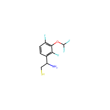 NC(CS)c1ccc(F)c(OC(F)F)c1F